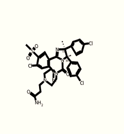 CCOc1cc(Cl)c(S(C)(=O)=O)cc1C1=N[C@@](C)(c2ccc(Cl)cc2)[C@@](C)(c2ccc(Cl)cc2)N1C(=O)N1CCN(CCC(N)=O)CC1